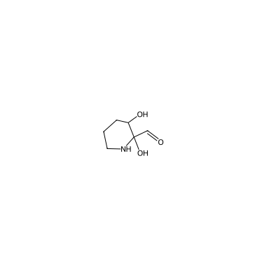 O=CC1(O)NCCCC1O